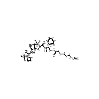 CCCCCCCCCCCCCCCC(=O)OCC(NC(=O)N1Cc2c(NC(=O)C3([Si](C)(C)C)CCC3)n[nH]c2C1(C)C)c1ccccc1